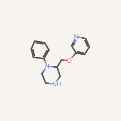 c1ccc(N2CCNCC2COc2cccnc2)cc1